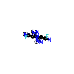 [C-]#[N+]/C(C#N)=C1/c2cc(-c3ccc(C#N)c(F)c3)ccc2-c2nc3c(nc21)-c1ccc(-c2ccc([N+]#[C-])c(F)c2)cc1/C3=C(/C#N)[N+]#[C-]